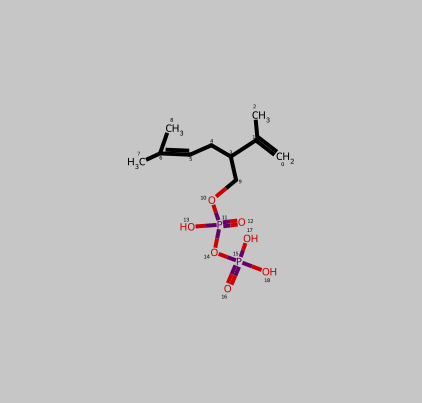 C=C(C)C(CC=C(C)C)COP(=O)(O)OP(=O)(O)O